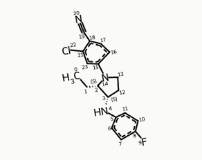 CC[C@H]1[C@@H](Nc2ccc(F)cc2)CCN1c1ccc(C#N)c(Cl)c1